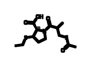 CCSC1CCN(C(=O)C(C)CSC(C)=O)[C@@H]1C(=O)O